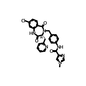 Cn1cnc(C(=O)Nc2ccc(CN3C(=O)c4ccc(Cl)cc4NC(=O)[C@H]3Cc3ccccn3)cc2)c1